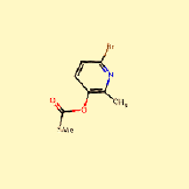 CSC(=O)Oc1ccc(Br)nc1C